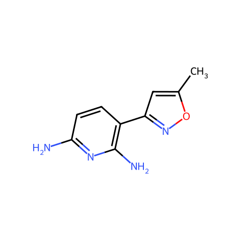 Cc1cc(-c2ccc(N)nc2N)no1